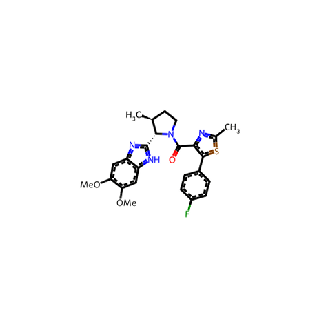 COc1cc2nc([C@@H]3[C@@H](C)CCN3C(=O)c3nc(C)sc3-c3ccc(F)cc3)[nH]c2cc1OC